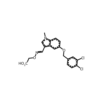 Cn1cc(/C=N/OCC(=O)O)c2cc(OCc3ccc(Cl)c(Cl)c3)ccc21